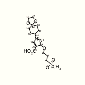 CS(=O)(=O)CCCOc1nn(C2CCC3(CC2)OCCO3)cc1C(=O)O